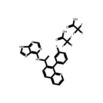 CC(Nc1ncnc2[nH]cnc12)c1ccc2cccnc2c1-c1cccc(F)c1.O=C(O)C(F)(F)F.O=C(O)C(F)(F)F